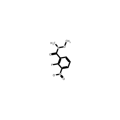 CON(C)C(=O)c1cccc([N+](=O)[O-])c1F